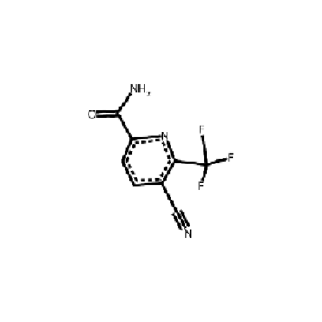 N#Cc1ccc(C(N)=O)nc1C(F)(F)F